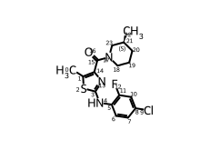 Cc1sc(Nc2ccc(Cl)cc2F)nc1C(=O)N1CCC[C@H](C)C1